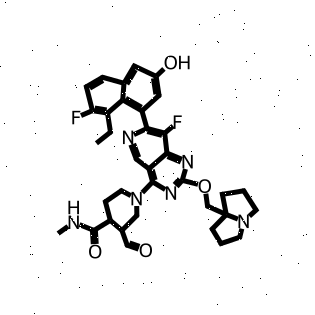 CCc1c(F)ccc2cc(O)cc(-c3ncc4c(N5CCC(C(=O)NC)C(C=O)C5)nc(OCC56CCCN5CCC6)nc4c3F)c12